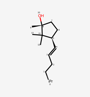 CC(C)CCC=C[C@@H]1CC[C@@](C)(O)C1(C)C